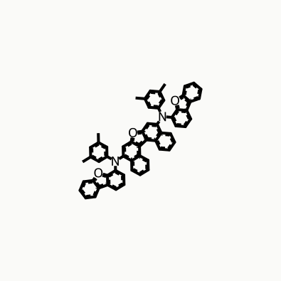 Cc1cc(C)cc(N(c2cc3oc4cc(N(c5cc(C)cc(C)c5)c5cccc6c5oc5ccccc56)c5ccccc5c4c3c3ccccc23)c2cccc3c2oc2ccccc23)c1